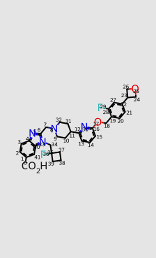 O=C(O)c1ccc2nc(CN3CCC(c4cccc(OCc5ccc(C6COC6)cc5F)n4)CC3)n(CC3(F)CCC3)c2c1